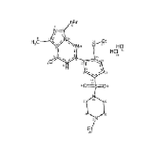 CCCc1nc(C)c2c(=O)[nH]c(-c3cc(S(=O)(=O)N4CCN(CC)CC4)ccc3OCC)nn12.Cl.Cl